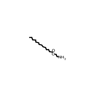 CCCCCCCCCCCCCC(=O)OCCN